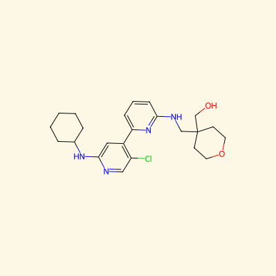 OCC1(CNc2cccc(-c3cc(NC4CCCCC4)ncc3Cl)n2)CCOCC1